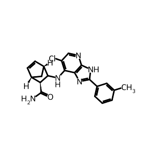 Cc1cccc(-c2nc3c(NC4[C@@H](C(N)=O)[C@@H]5C=C[C@H]4C5)c(Cl)cnc3[nH]2)c1